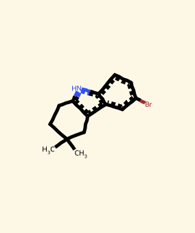 CC1(C)CCc2[nH]c3ccc(Br)cc3c2C1